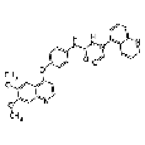 COc1cc2nccc(Oc3ccc(NC(=O)NN(C=O)c4cccc5ncccc45)cc3)c2cc1OC